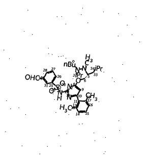 CCCCN(C(C)C)N(C)[C@@H](COc1cc(-c2c(C)cccc2C)nc(NS(=O)(=O)c2cccc(C=O)c2)n1)CC(C)C